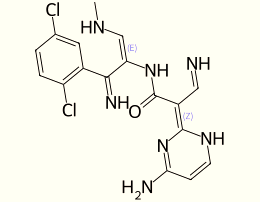 CN/C=C(/NC(=O)/C(C=N)=C1\N=C(N)C=CN1)C(=N)c1cc(Cl)ccc1Cl